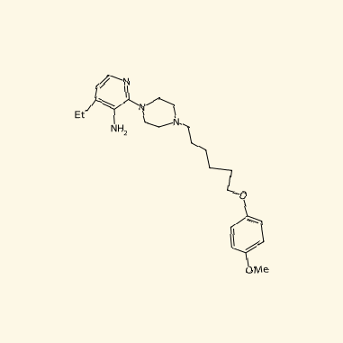 CCc1ccnc(N2CCN(CCCCCCOc3ccc(OC)cc3)CC2)c1N